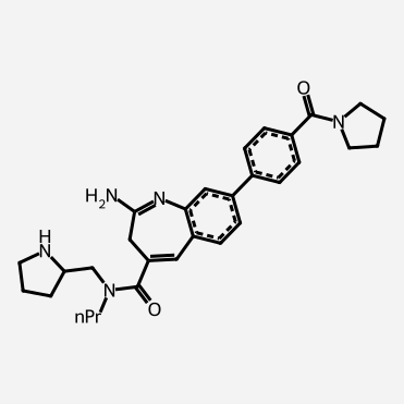 CCCN(CC1CCCN1)C(=O)C1=Cc2ccc(-c3ccc(C(=O)N4CCCC4)cc3)cc2N=C(N)C1